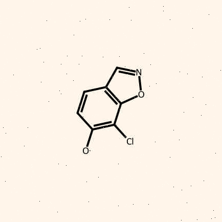 [O]c1ccc2cnoc2c1Cl